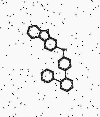 c1ccc(-c2ccccc2-c2ccc(Nc3ccc4c(c3)oc3ccccc34)cc2)cc1